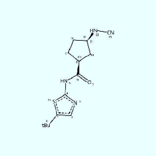 CC(C)(C)c1cnc(NC(=O)[C@H]2CC[C@@H](NC#N)C2)s1